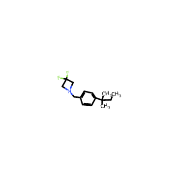 CCC(C)(C)c1ccc(CN2CC(F)(F)C2)cc1